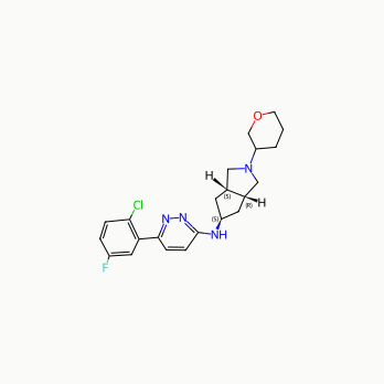 Fc1ccc(Cl)c(-c2ccc(N[C@H]3C[C@@H]4CN(C5CCCOC5)C[C@@H]4C3)nn2)c1